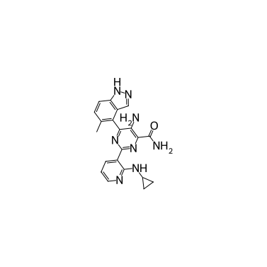 Cc1ccc2[nH]ncc2c1-c1nc(-c2cccnc2NC2CC2)nc(C(N)=O)c1N